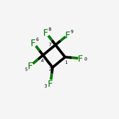 FC1C(F)C(F)(F)C1(F)F